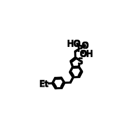 CCc1ccc(Cc2ccc3sc(CP(=O)(O)O)cc3c2)cc1